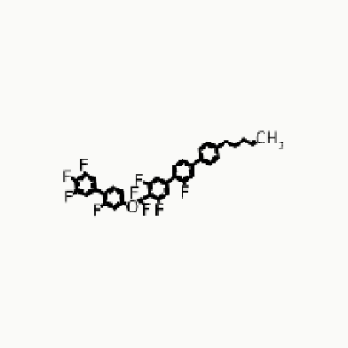 C=CCCCc1ccc(-c2ccc(-c3cc(F)c(C(F)(F)Oc4ccc(-c5cc(F)c(F)c(F)c5)c(F)c4)c(F)c3)c(F)c2)cc1